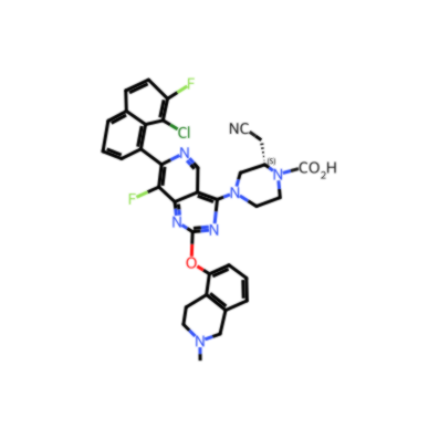 CN1CCc2c(cccc2Oc2nc(N3CCN(C(=O)O)[C@@H](CC#N)C3)c3cnc(-c4cccc5ccc(F)c(Cl)c45)c(F)c3n2)C1